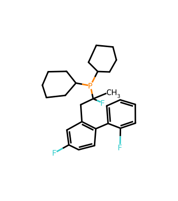 CC(F)(Cc1cc(F)ccc1-c1ccccc1F)P(C1CCCCC1)C1CCCCC1